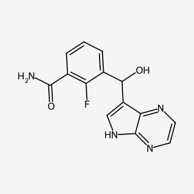 NC(=O)c1cccc(C(O)c2c[nH]c3nccnc23)c1F